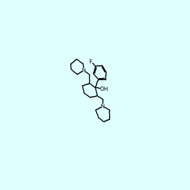 OC1(c2cccc(F)c2)C(CN2CCCCC2)CCCC1CN1CCCCC1